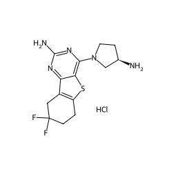 Cl.Nc1nc(N2CC[C@@H](N)C2)c2sc3c(c2n1)CC(F)(F)CC3